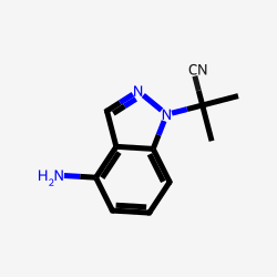 CC(C)(C#N)n1ncc2c(N)cccc21